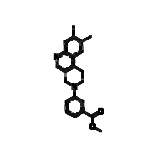 COC(=O)c1cccc(N2CCc3c(cnc4cc(C)c(C)cc34)C2)c1